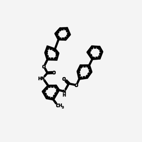 Cc1ccc(NC(=O)Oc2ccc(-c3ccccc3)cc2)cc1NC(=O)Oc1ccc(-c2ccccc2)cc1